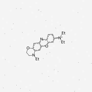 CCN1CCOc2cc3nc4ccc(=[N+](CC)CC)cc-4oc3cc21